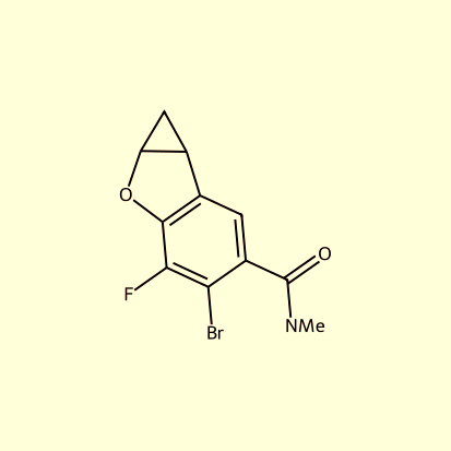 CNC(=O)c1cc2c(c(F)c1Br)OC1CC21